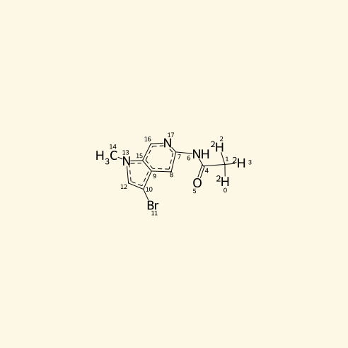 [2H]C([2H])([2H])C(=O)Nc1cc2c(Br)cn(C)c2cn1